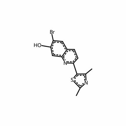 Cc1nc(C)c(-c2ccc3cc(Br)c(O)cc3n2)s1